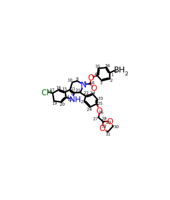 Bc1ccc(OC(=O)N2CCc3c([nH]c4c3=CC(Cl)CC=4)C2c2ccc(OCC3OCCO3)cc2)cc1